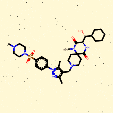 CCCCN1C(=O)[C@@H]([C@H](O)C2CCCCC2)NC(=O)C12CCN(Cc1c(C)nn(-c3ccc(S(=O)(=O)N4CCN(C)CC4)cc3)c1C)CC2